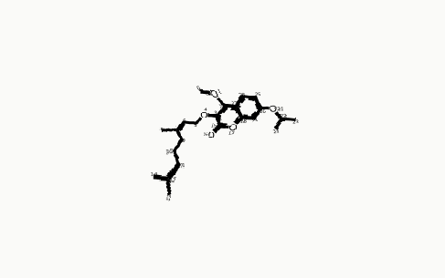 COc1c(OCC=C(C)CCC=C(C)C)c(=O)oc2cc(OC(C)C)ccc12